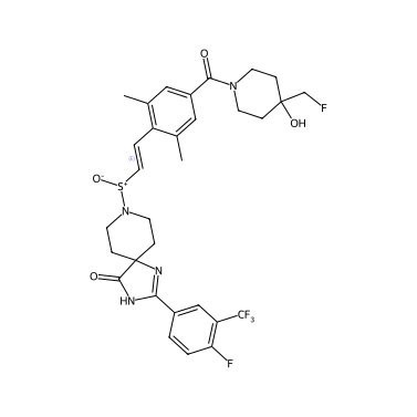 Cc1cc(C(=O)N2CCC(O)(CF)CC2)cc(C)c1/C=C/[S+]([O-])N1CCC2(CC1)N=C(c1ccc(F)c(C(F)(F)F)c1)NC2=O